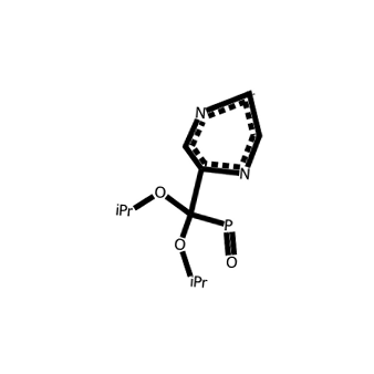 CC(C)OC(OC(C)C)(P=O)c1cn[c]cn1